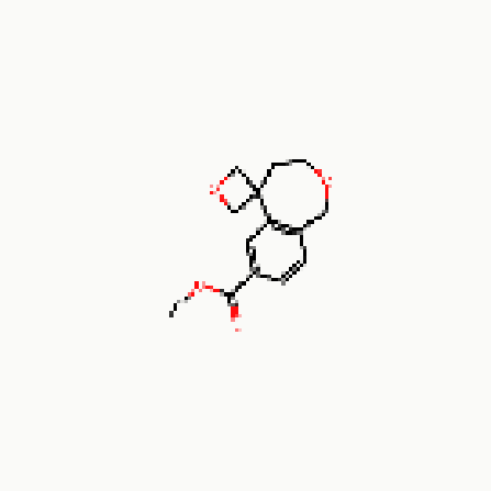 COC(=O)c1ccc2c(c1)C1(CCOC2)COC1